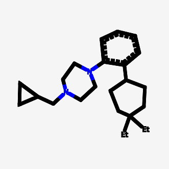 CCC1(CC)CCC(c2ccccc2N2CCN(CC3CC3)CC2)CC1